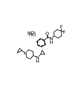 Cl.Cl.O=C(NC1CCC(F)(F)CC1)c1cccc([C@@H]2C[C@H]2NC2CCN(C3CC3)CC2)c1